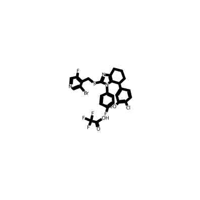 COc1cc(C2CCCc3nc(SCc4c(F)cncc4Br)n(-c4ccc(F)cc4)c32)ccc1Cl.O=C(O)C(F)(F)F